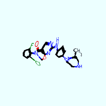 C[C@H]1CNCCN1c1ccc(Nc2ncc3c(n2)OCN(c2c(F)cccc2Cl)C3=O)cc1